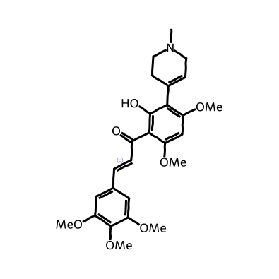 COc1cc(/C=C/C(=O)c2c(OC)cc(OC)c(C3=CCN(C)CC3)c2O)cc(OC)c1OC